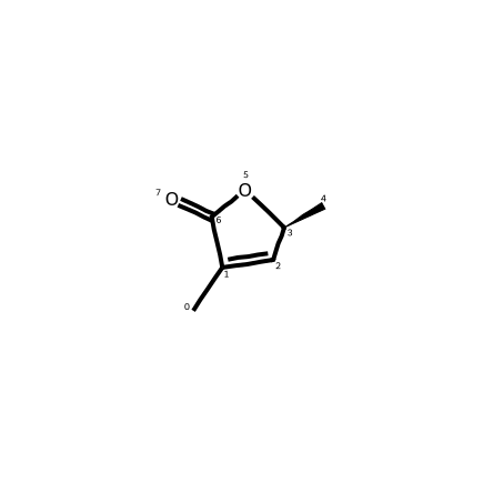 CC1=C[C@H](C)OC1=O